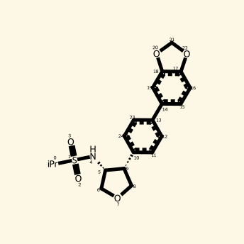 CC(C)S(=O)(=O)N[C@H]1COC[C@H]1c1ccc(-c2ccc3c(c2)OCO3)cc1